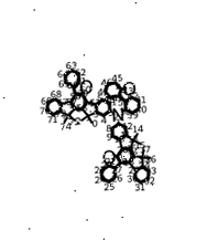 CC1(C)c2cc(N(c3ccc4c(c3)C(C)(C)c3c5c(c6c(oc7ccccc76)c3-4)-c3ccccc3C5(C)C)c3cccc4oc5ccccc5c34)ccc2-c2c1c1c(c3c2oc2ccccc23)-c2ccccc2C1(C)C